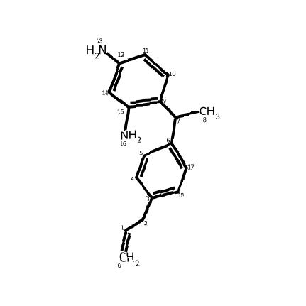 C=CCc1ccc(C(C)c2ccc(N)cc2N)cc1